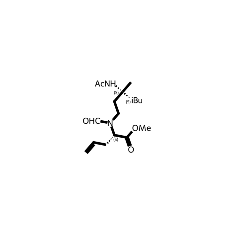 C=CC[C@@H](C(=O)OC)N(C=O)CC[C@](C)(NC(C)=O)[C@@H](C)CC